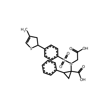 CC1=CSC(c2ccc(S(=O)(=O)N(CC(=O)O)C3(C(=O)O)CC3c3ccccc3)cc2)C1